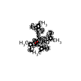 Cc1cc(C2OCCO2)c(OCCOCC(COCCOc2c(C3OCCO3)cc(C)cc2C2OCCO2)(COCCOc2c(C3OCCO3)cc(C)cc2C2OCCO2)COCCOc2c(C3OCCO3)cc(C)cc2C2OCCO2)c(C2OCCO2)c1